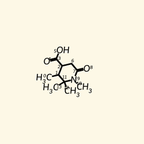 CC1C(C(=O)O)CC(=O)N(C)C1(C)C